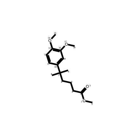 COC(=O)CCCC(C)(C)c1ccc(OC)c(OC)c1